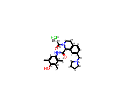 Cc1cc(NC(=O)C2c3cc(CN4CCCC4)ccc3CCN2C(=O)C(C)(C)C)c(C)c(C)c1O.Cl